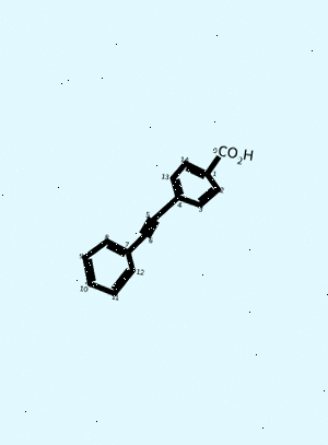 O=C(O)c1ccc(C#Cc2cc[c]cc2)cc1